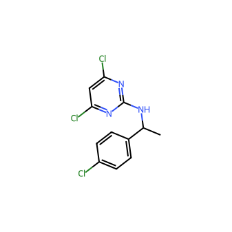 CC(Nc1nc(Cl)cc(Cl)n1)c1ccc(Cl)cc1